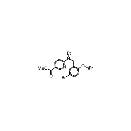 CCCOc1ccc(Br)cc1CN(CC)c1ccc(C(=O)OC)cn1